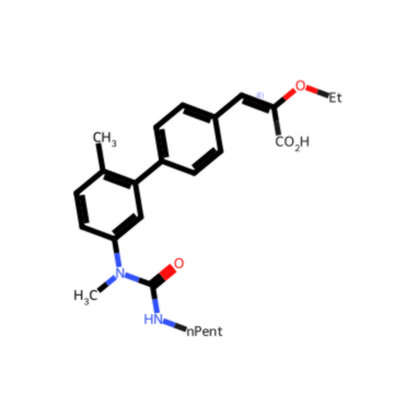 CCCCCNC(=O)N(C)c1ccc(C)c(-c2ccc(/C=C(/OCC)C(=O)O)cc2)c1